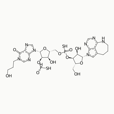 O=c1c2ncn([C@@H]3O[C@H](COP(=O)(S)O[C@H]4[C@@H](O)[C@H](n5cc6c7c(ncnc75)NCCC6)O[C@@H]4CO)[C@@H](O)[C@H]3O[PH](=O)S)c2ncn1CCCO